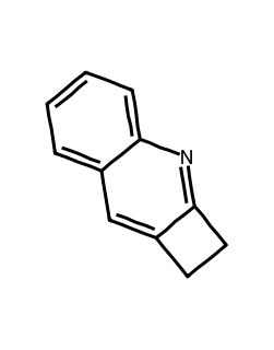 c1ccc2nc3c(cc2c1)CC3